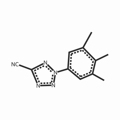 Cc1cc(-n2nnc(C#N)n2)cc(C)c1C